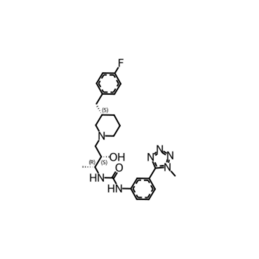 C[C@@H](NC(=O)Nc1cccc(-c2nnnn2C)c1)[C@@H](O)CN1CCC[C@@H](Cc2ccc(F)cc2)C1